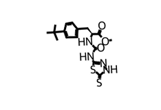 COC(=O)[C@H](Cc1ccc(C(C)(C)C)cc1)NC(=O)Nc1n[nH]c(=S)s1